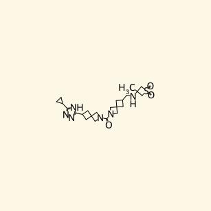 CC1(NCC2CC3(C2)CN(C(=O)N2CC4(CC(c5nnc(C6CC6)[nH]5)C4)C2)C3)CS(=O)(=O)C1